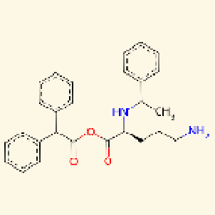 CC(N[C@@H](CCCN)C(=O)OC(=O)C(c1ccccc1)c1ccccc1)c1ccccc1